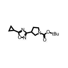 CC(C)(C)OC(=O)N1CCC(c2noc(C3CC3)n2)C1